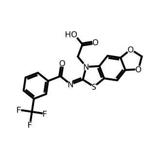 O=C(O)Cn1c(=NC(=O)c2cccc(C(F)(F)F)c2)sc2cc3c(cc21)OCO3